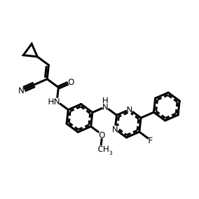 COc1ccc(NC(=O)C(C#N)=CC2CC2)cc1Nc1ncc(F)c(-c2ccccc2)n1